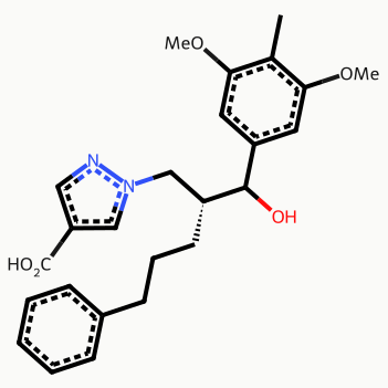 COc1cc(C(O)[C@H](CCCc2ccccc2)Cn2cc(C(=O)O)cn2)cc(OC)c1C